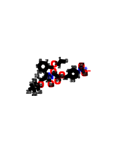 C=CCOC(=O)C1CCCCC1[C@H]1[C@@H]([C@@H](C)O[Si](C)(C)C(C)(C)C)C(=O)N1CC(=O)OCc1ccc([N+](=O)[O-])cc1